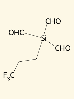 O=C[Si](C=O)(C=O)CCC(F)(F)F